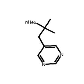 CCCCCCC(C)(C)Cc1cncnc1